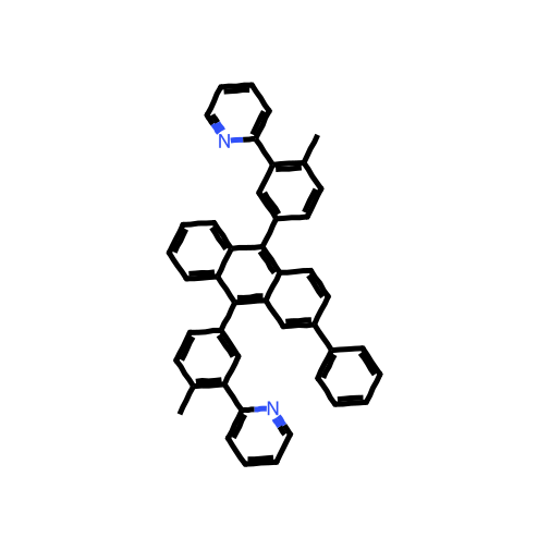 Cc1ccc(-c2c3ccccc3c(-c3ccc(C)c(-c4ccccn4)c3)c3cc(-c4ccccc4)ccc23)cc1-c1ccccn1